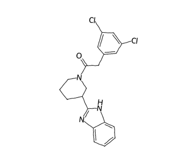 O=C(Cc1cc(Cl)cc(Cl)c1)N1CCCC(c2nc3ccccc3[nH]2)C1